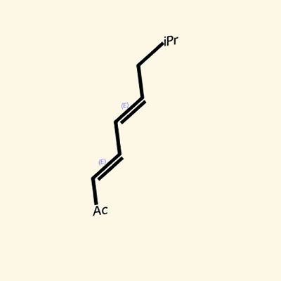 CC(=O)/C=C/C=C/CC(C)C